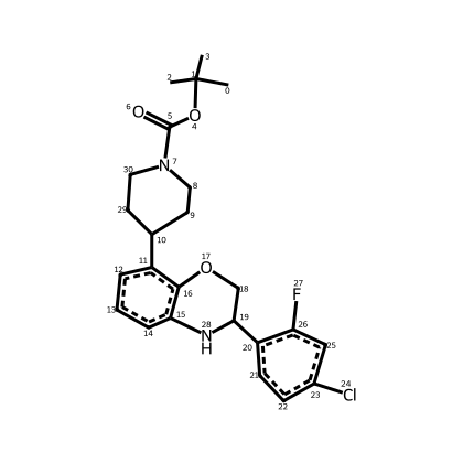 CC(C)(C)OC(=O)N1CCC(c2cccc3c2OCC(c2ccc(Cl)cc2F)N3)CC1